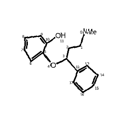 CNCCC(Oc1ccccc1O)c1ccccc1